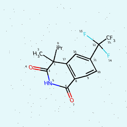 CC(C)C1(C)C(=O)NC(=O)c2ccc(C(F)(F)C(F)(F)F)cc21